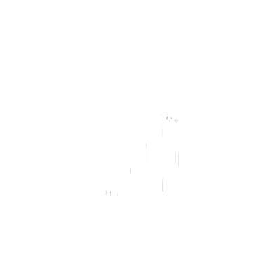 COc1ccc2c(c1)C(C)C(O)CC2